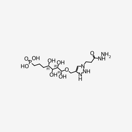 NNC(=O)CCN1C=C(CO[C@@H](O)[C@H](O)C(O)[C@H](O)CCCP(=O)(O)O)NN1